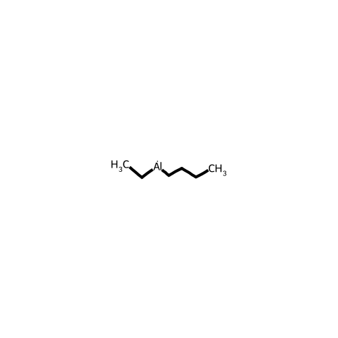 CCC[CH2][Al][CH2]C